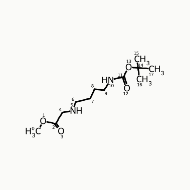 COC(=O)CNCCCCNC(=O)OC(C)(C)C